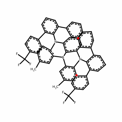 Cc1ccc2c(c1)B1c3cc(C)ccc3N(c3c(-c4ccccc4)cccc3-c3ccc(C(F)(F)F)cc3)c3cccc(c31)N2c1c(-c2ccccc2)cccc1-c1ccc(C(F)(F)F)cc1